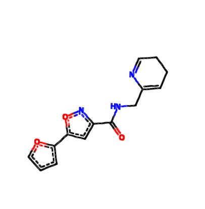 O=C(NCC1=CCCC=N1)c1cc(-c2ccco2)on1